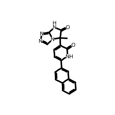 CC1(c2ccc(-c3ccc4ccccc4c3)[nH]c2=O)C(=O)Nc2nncn21